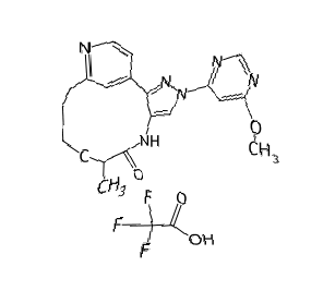 COc1cc(-n2cc3c(n2)-c2ccnc(c2)CCCCC(C)C(=O)N3)ncn1.O=C(O)C(F)(F)F